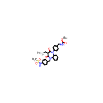 CC(C)(C)OC(=O)NCc1ccc(N2C(=O)C(CC(=O)O)C(=O)N(Cc3ccc(NS(C)(=O)=O)cc3)c3ccccc32)cc1